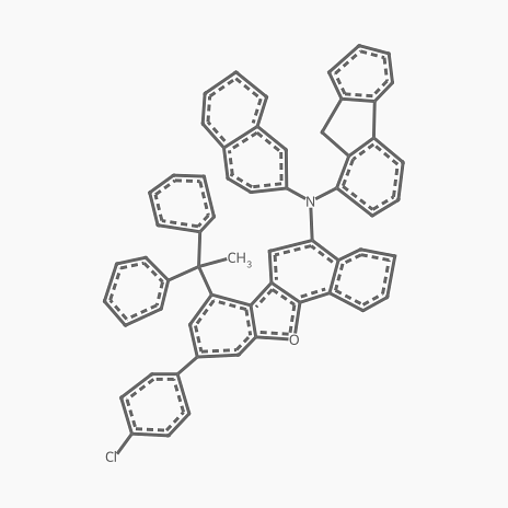 CC(c1ccccc1)(c1ccccc1)c1cc(-c2ccc(Cl)cc2)cc2oc3c4ccccc4c(N(c4ccc5ccccc5c4)c4cccc5c4Cc4ccccc4-5)cc3c12